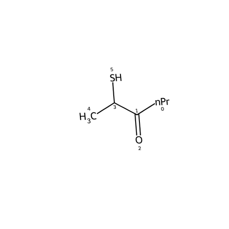 CCCC(=O)C(C)S